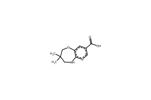 CC1(C)CNc2ncc(C(=O)O)cc2OC1